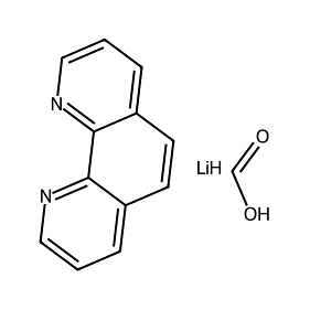 O=CO.[LiH].c1cnc2c(c1)ccc1cccnc12